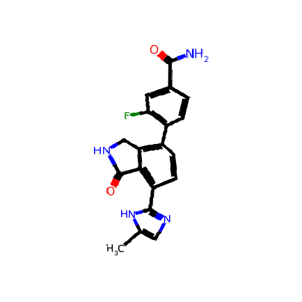 Cc1cnc(-c2ccc(-c3ccc(C(N)=O)cc3F)c3c2C(=O)NC3)[nH]1